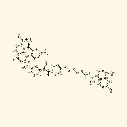 COc1cccc(Nc2c(C(N)=O)cnc3c(C)cc(S(=O)(=O)c4cccc(C(=O)Nc5ccc(CCCCCNCC(O)c6ccc(O)c7[nH]c(=O)ccc67)cc5)c4)cc23)c1